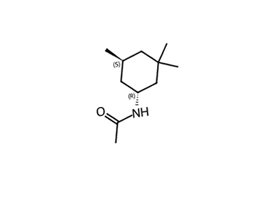 CC(=O)N[C@@H]1C[C@@H](C)CC(C)(C)C1